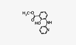 COC(=O)c1cccc(Nc2ccccn2)c1O